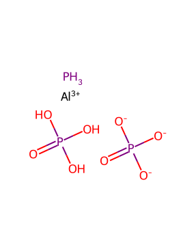 O=P(O)(O)O.O=P([O-])([O-])[O-].P.[Al+3]